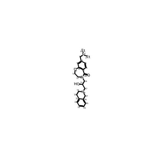 CCN(CC)Cc1ccc2c(c1)OCCN(CC(O)CN1CCc3ccccc3C1)C2=O